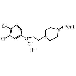 CCCCCN1CCC(CCOc2ccc(Cl)c(Cl)c2)CC1.[Cl-].[H+]